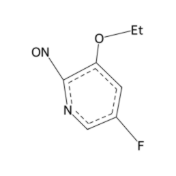 CCOc1cc(F)cnc1N=O